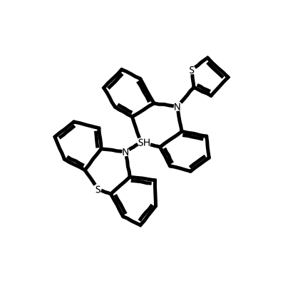 c1csc(N2c3ccccc3[SH](N3c4ccccc4Sc4ccccc43)c3ccccc32)c1